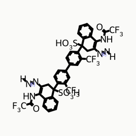 [H]/N=N/C1=C(NC(=O)C(F)(F)F)c2ccccc2C(c2ccc(-c3ccc(C4(S(=O)(=O)O)CC(/N=N/[H])=C(NC(=O)C(F)(F)F)c5ccccc54)c(C(F)(F)F)c3)cc2C(F)(F)F)(S(=O)(=O)O)C1